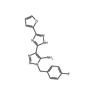 Nc1c(-c2nc(-c3ccco3)n[nH]2)nnn1Cc1ccc(F)cc1